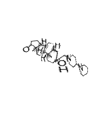 C[C@]12CC[C@](O)(CN3CCC(N4CCCCC4)CC3)C[C@@H]1CC[C@@H]1[C@@H]2CC[C@]2(C)C(=O)CC[C@@H]12